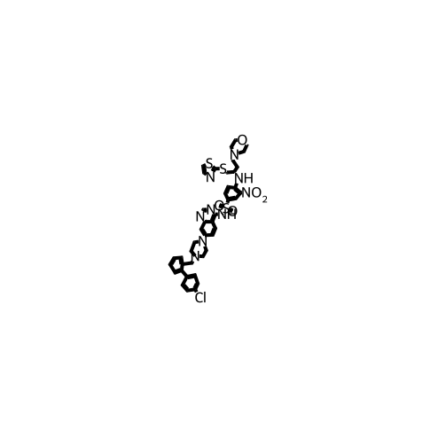 O=[N+]([O-])c1cc(S(=O)(=O)Nc2ncnc3cc(N4CCN(Cc5ccccc5-c5ccc(Cl)cc5)CC4)ccc23)ccc1NC(CCN1CCOCC1)CSc1nccs1